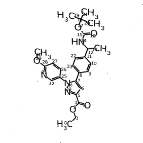 CCOC(=O)c1cc(-c2ccc(C(C)NC(=O)OC(C)(C)C)cc2)n(-c2ccc(OC)nc2)n1